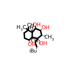 CC[C@@H](C)CC[C@@]1(O)[C@@H](C)[C@H](O)[C@H](O)[C@H]2C(C)(C)CC[C@@H](O)[C@@]21C